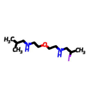 CC(C)CNCCOCCNCC(C)I